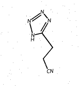 N#CCCc1nnn[nH]1